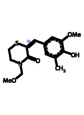 COCN1CCS/C(=C/c2cc(C)c(O)c(OC)c2)C1=O